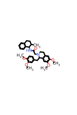 COc1ccc(CC2c3cc(OC)c(OC)cc3CCN2CC(=O)NC2c3ccccc3CCC2C)cc1OC